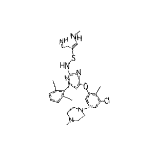 CN/C=C(\C=N)SNc1nc(Oc2cc(N3CCN(C)CC3)cc(Cl)c2C)cc(-c2c(C)cccc2C)n1